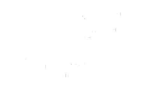 Cc1cc(NC(=O)OC(C)C)c(C)c(C(OC(C)(C)C)C(=O)O)c1-c1ccc2c(c1)CCCO2